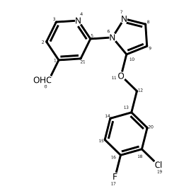 O=Cc1ccnc(-n2nccc2OCc2ccc(F)c(Cl)c2)c1